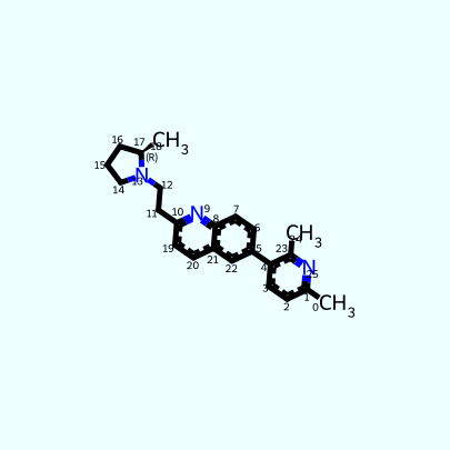 Cc1ccc(-c2ccc3nc(CCN4CCC[C@H]4C)ccc3c2)c(C)n1